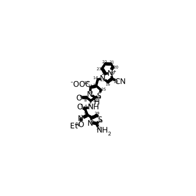 CCO/N=C(/C(=O)N[C@@H]1C(=O)N2C(C(=O)[O-])=C(Cn3cc(C#N)[n+]4ccccc34)CS[C@H]12)c1csc(N)n1